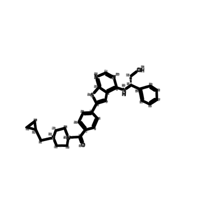 O=C(c1ccc(-c2cc3c(N[C@H](CO)c4ccccc4)ncnc3s2)cc1)N1CCN(CC2CC2)CC1